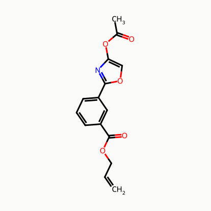 C=CCOC(=O)c1cccc(-c2nc(OC(C)=O)co2)c1